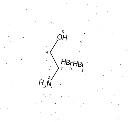 Br.Br.NCCO